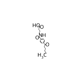 CCCCCC(=O)c1ccc(C(=O)NCCCC(=O)O)cc1